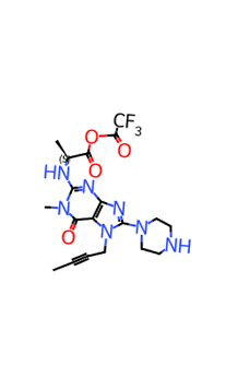 CC#CCn1c(N2CCNCC2)nc2nc(N[C@@H](C)C(=O)OC(=O)C(F)(F)F)n(C)c(=O)c21